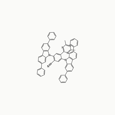 Cc1nc(C)nc(-c2cc(-n3c4cc(-c5ccccc5)ccc4c4ccc(-c5ccccc5)cc43)c(C#N)cc2-n2c3cc(-c4ccccc4)ccc3c3ccc(-c4ccccc4)cc32)n1